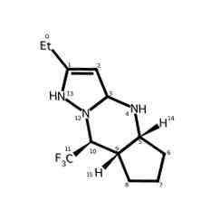 CCC1=CC2N[C@@H]3CCC[C@@H]3[C@@H](C(F)(F)F)N2N1